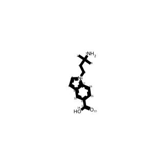 CC(C)(N)CCn1ccc2cc(C(=O)O)ccc21